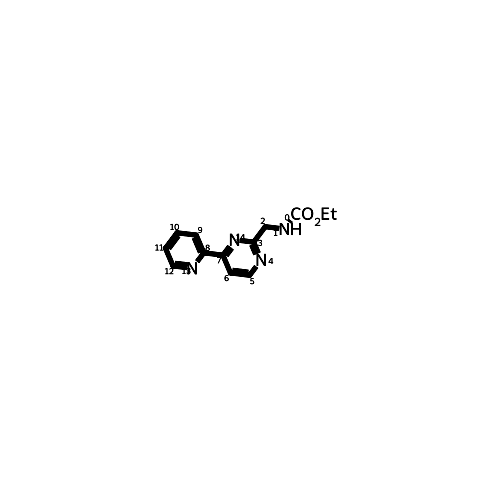 CCOC(=O)NCc1nccc(-c2ccccn2)n1